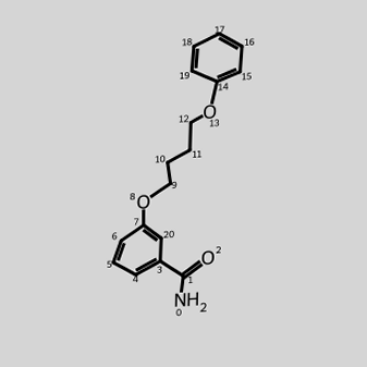 NC(=O)c1cccc(OCCCCOc2ccccc2)c1